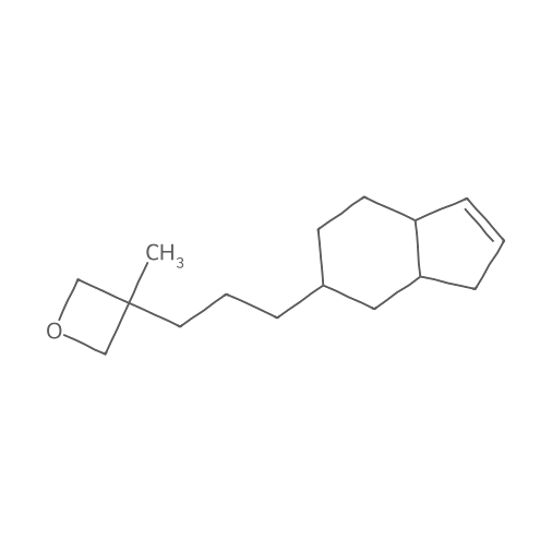 CC1(CCCC2CCC3C=CCC3C2)COC1